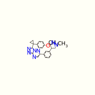 COc1ccc(C2(c3nnc4ncc(-c5cccc(C6C=NN(C)C6)c5)nn34)CC2)cc1